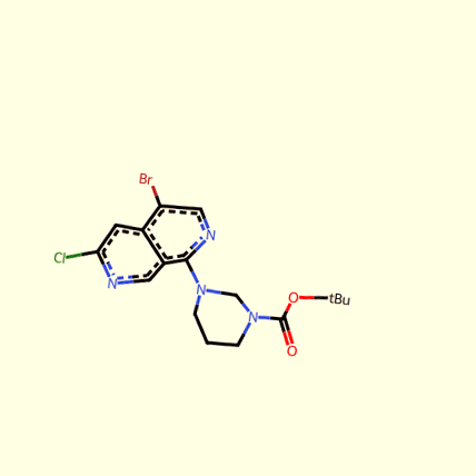 CC(C)(C)OC(=O)N1CCCN(c2ncc(Br)c3cc(Cl)ncc23)C1